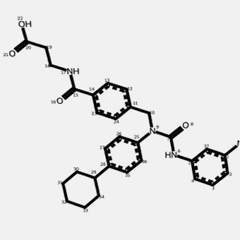 Nc1cccc(NC(=O)N(Cc2ccc(C(=O)NCCC(=O)O)cc2)c2ccc(C3CCCCC3)cc2)c1